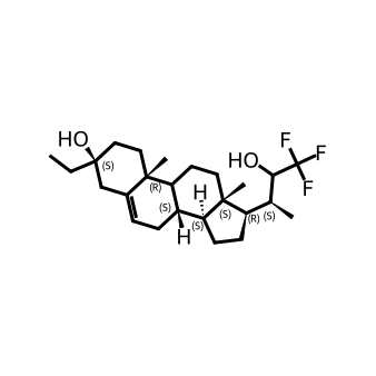 CC[C@]1(O)CC[C@@]2(C)C(=CC[C@@H]3C2CC[C@]2(C)[C@@H]([C@H](C)C(O)C(F)(F)F)CC[C@@H]32)C1